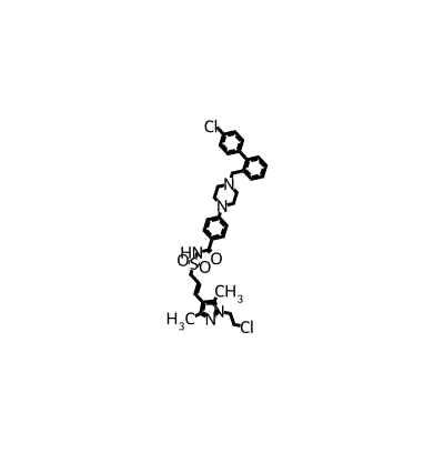 Cc1nn(CCCl)c(C)c1C=CCS(=O)(=O)NC(=O)c1ccc(N2CCN(Cc3ccccc3-c3ccc(Cl)cc3)CC2)cc1